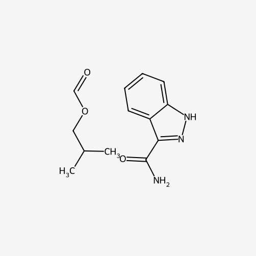 CC(C)COC=O.NC(=O)c1n[nH]c2ccccc12